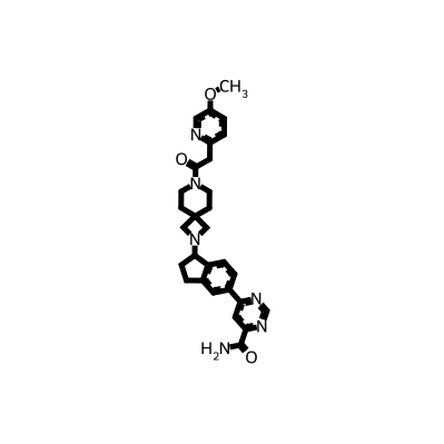 COc1ccc(CC(=O)N2CCC3(CC2)CN(C2CCc4cc(-c5cc(C(N)=O)ncn5)ccc42)C3)nc1